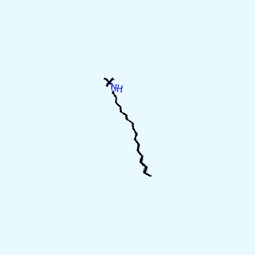 CCCCCCCCCCCCCCCCCCNC(C)(C)C